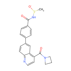 C[S+]([O-])NC(=O)c1ccc(-c2ccc3nccc(C(=O)N4CCC4)c3c2)cc1